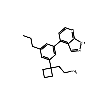 CCCc1cc(-c2ccnc3[nH]ncc23)cc(C2(CCN)CCC2)c1